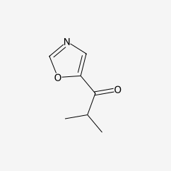 CC(C)C(=O)c1cnco1